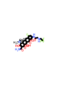 CN(C)[C@@H]1C(O)=C(C(N)=O)C(=O)[C@@]2(O)C(O)=C3C(=O)c4c(O)c(NC(=O)CNCC(F)(F)F)cc(F)c4C[C@H]3C[C@@H]12